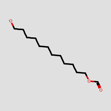 [O]CCCCCCCCCCCCOC=O